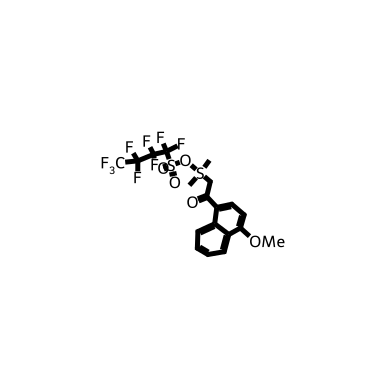 COc1ccc(C(=O)CS(C)(C)OS(=O)(=O)C(F)(F)C(F)(F)C(F)(F)C(F)(F)F)c2ccccc12